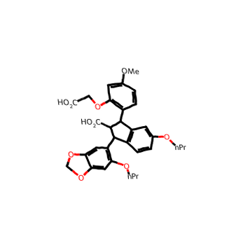 CCCOc1ccc2c(c1)C(c1ccc(OC)cc1OCC(=O)O)C(C(=O)O)C2c1cc2c(cc1OCCC)OCO2